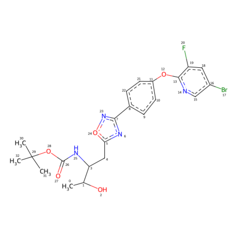 CC(O)C(Cc1nc(-c2ccc(Oc3ncc(Br)cc3F)cc2)no1)NC(=O)OC(C)(C)C